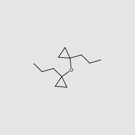 CCCC1(OC2(CCC)CC2)CC1